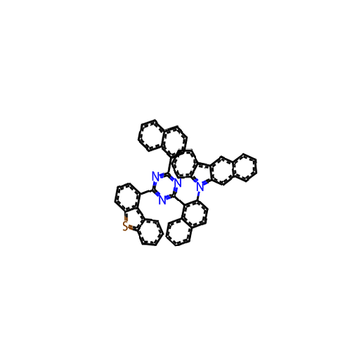 c1ccc2cc3c(cc2c1)c1ccccc1n3-c1ccc2ccccc2c1-c1nc(-c2cccc3ccccc23)nc(-c2cccc3sc4ccccc4c23)n1